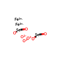 O=[Se]=O.O=[Se]=O.[Fe+3].[Fe+3].[O-2].[O-2].[O-2]